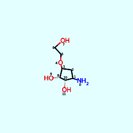 NC1CC(OCCO)[C@@H](O)[C@H]1O